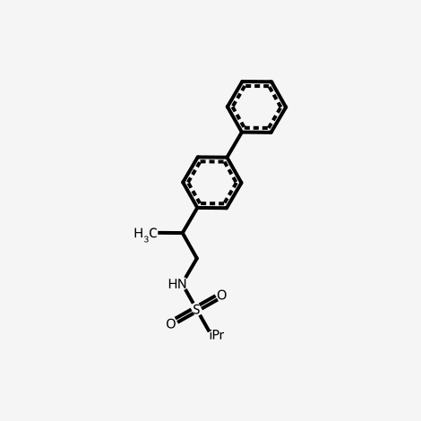 CC(CNS(=O)(=O)C(C)C)c1ccc(-c2ccccc2)cc1